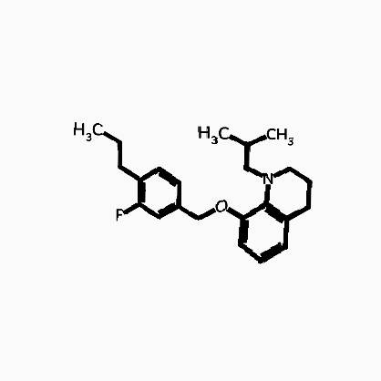 CCCc1ccc(COc2cccc3c2N(CC(C)C)CCC3)cc1F